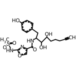 C#CCCCC(O)C(O)C(Cc1ccc(O)cc1)NC(=O)c1coc(NS(C)(=O)=O)n1